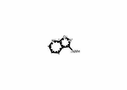 CNc1noc2ncccc12